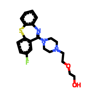 OCCOCCN1CCN(C2=Nc3ccccc3Sc3ccc(F)cc32)CC1